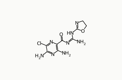 N/C(=N/C(=O)c1nc(Cl)c(N)nc1N)NC1=NCCO1